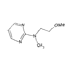 COCCN(C)c1nc[c]cn1